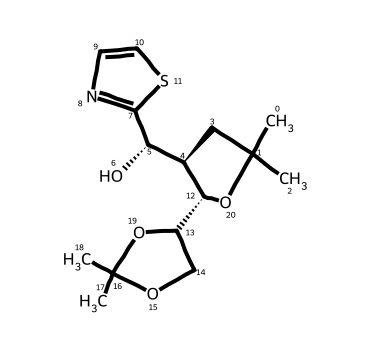 CC1(C)C[C@H]([C@H](O)c2nccs2)[C@@H](C2COC(C)(C)O2)O1